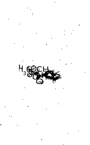 CC1[C@@H](S(C)(=O)=O)OC(=O)N1c1ccc2sccc2c1